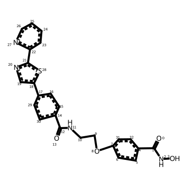 O=C(NO)c1ccc(OCCNC(=O)c2ccc(-c3cnc(-c4ccccn4)s3)cc2)cc1